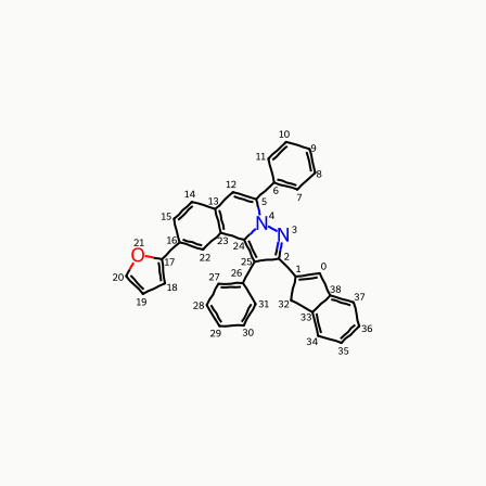 C1=C(c2nn3c(-c4ccccc4)cc4ccc(-c5ccco5)cc4c3c2-c2ccccc2)Cc2ccccc21